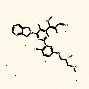 CNC[C@@H](O)COc1ccc(Cl)c(-c2nc(/C(NC)=C(\C)C=N)c(C)c(N3Cc4cccnc4C3)n2)c1